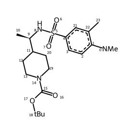 CNc1ccc(S(=O)(=O)N[C@H](C)C2CCN(C(=O)OC(C)(C)C)CC2)cc1C